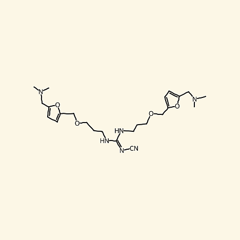 CN(C)Cc1ccc(COCCCNC(=NC#N)NCCCOCc2ccc(CN(C)C)o2)o1